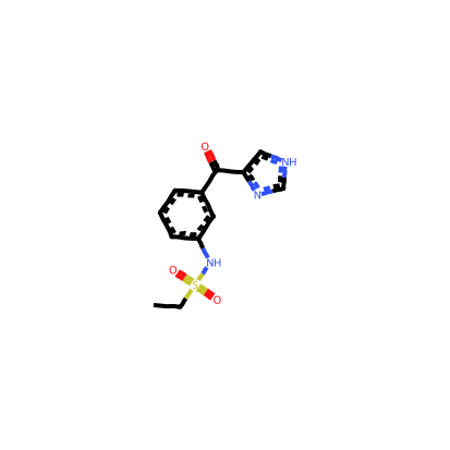 CCS(=O)(=O)Nc1cccc(C(=O)c2c[nH]cn2)c1